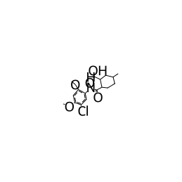 COc1cc(OC)c(NC(=O)C2CCC(C)CC2C(=O)O)cc1Cl